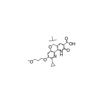 COCCCOc1cc2c(nc1C1CC1)-c1[nH]c(=O)c(C(=O)O)cc1[C@@H](C(C)(C)C)O2